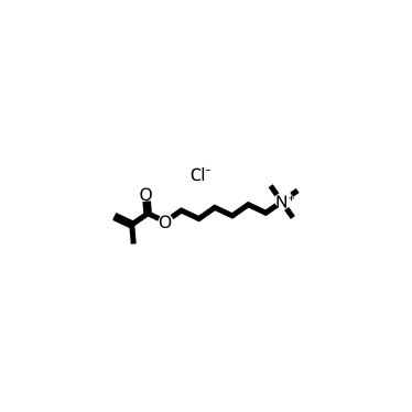 C=C(C)C(=O)OCCCCCC[N+](C)(C)C.[Cl-]